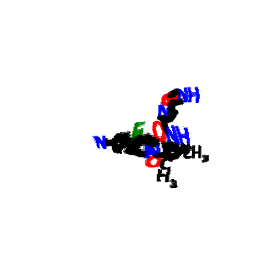 CCc1cc(C)c(C(=O)N2CCC(F)(c3ccc(C#N)cc3)CC2)cc1NC(=O)c1ccc(C2CNCCO2)nc1